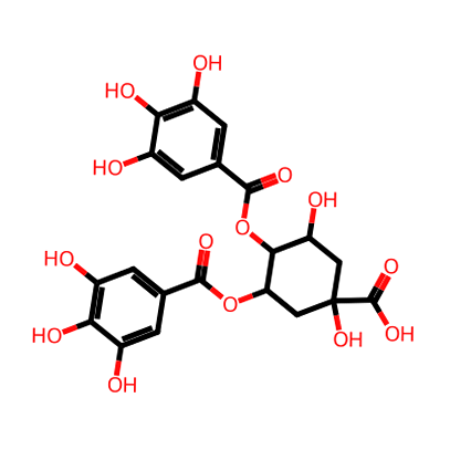 O=C(OC1CC(O)(C(=O)O)CC(O)C1OC(=O)c1cc(O)c(O)c(O)c1)c1cc(O)c(O)c(O)c1